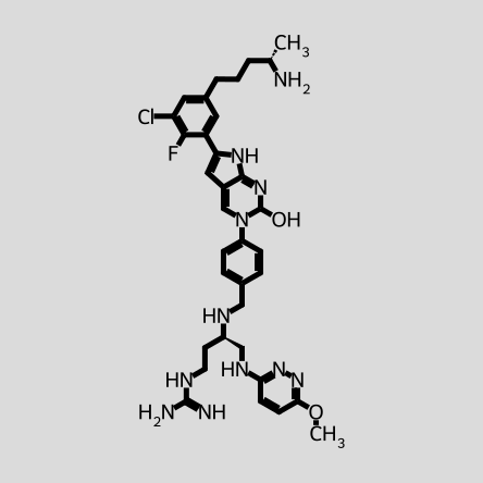 COc1ccc(NC[C@@H](CCNC(=N)N)NCc2ccc(N3C=c4cc(-c5cc(CCC[C@H](C)N)cc(Cl)c5F)[nH]c4=NC3O)cc2)nn1